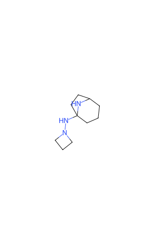 C1CN(NC23CCCC(CC2)N3)C1